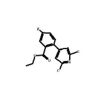 CCOC(=O)c1cc(F)ccc1-c1cc(Cl)nc(Cl)c1